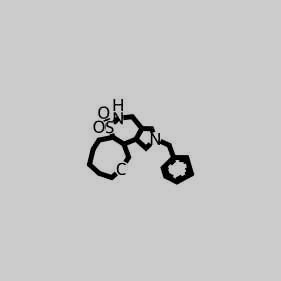 O=S1(=O)NCC2CN(Cc3ccccc3)CC2C2CCCCCCCC21